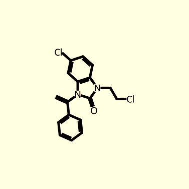 C=C(c1ccccc1)n1c(=O)n(CCCl)c2ccc(Cl)cc21